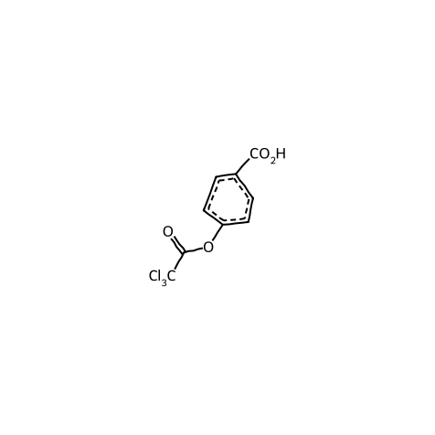 O=C(O)c1ccc(OC(=O)C(Cl)(Cl)Cl)cc1